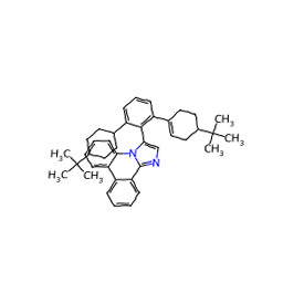 CC(C)(C)C1CC=C(c2cccc(C3CCC(C(C)(C)C)CC3)c2-c2cnc3c4ccccc4c4ccccc4n23)CC1